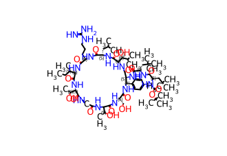 CC[C@H](C)[C@@H]1NC(=O)[C@@H](CCCNC(=N)N)NC(=O)[C@H](CC(C)C)NC(=O)[C@H]([C@H](O)C(C)C)NC(=O)[C@@H](NC(=O)[C@H](CC(C)(C)C)NC(=O)[C@@H](CC(C)(C)C)NC(=O)OC(C)(C)C)[C@@H](c2ccccc2)NC(=O)[C@H](CO)NC(=O)C([C@H](C)O)NC(=O)CNC(=O)[C@H]([C@H](C)O)NC1=O